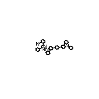 N#Cc1ccccc1-c1cc(-c2ccccc2)nc(-n2c3ccccc3c3cc(-c4ccc(-c5ccc6c(c5)c5ccccc5n6-c5ccccc5)cc4)ccc32)n1